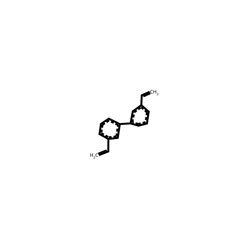 C=Cc1cccc(-c2cccc(C=C)c2)c1